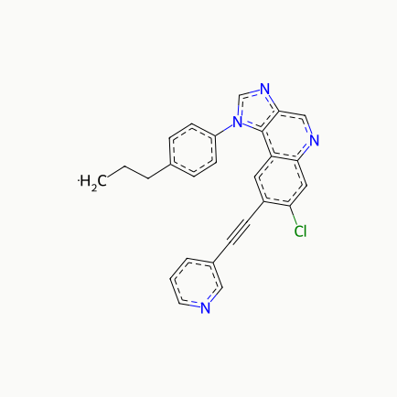 [CH2]CCc1ccc(-n2cnc3cnc4cc(Cl)c(C#Cc5cccnc5)cc4c32)cc1